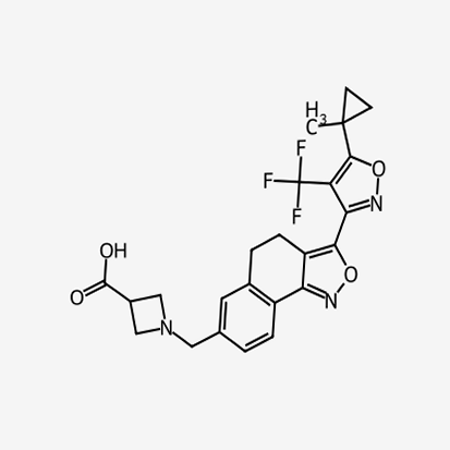 CC1(c2onc(-c3onc4c3CCc3cc(CN5CC(C(=O)O)C5)ccc3-4)c2C(F)(F)F)CC1